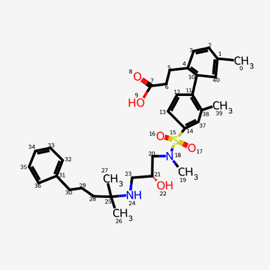 Cc1ccc(CCC(=O)O)c(-c2ccc(S(=O)(=O)N(C)C[C@H](O)CNC(C)(C)CCCc3ccccc3)cc2C)c1